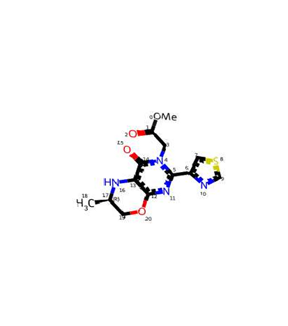 COC(=O)Cn1c(-c2cscn2)nc2c(c1=O)N[C@H](C)CO2